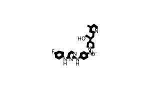 Cc1ccnc(CC(CO)C2CCN([S+]([O-])c3ccc(Nc4nccc(Nc5ccc(F)cc5)n4)cc3)CC2)c1